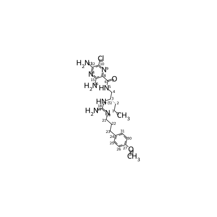 CCC[C@@H](CNC(=O)c1nc(Cl)c(N)nc1N)NC(N)=NCCCc1ccc(OC)cc1